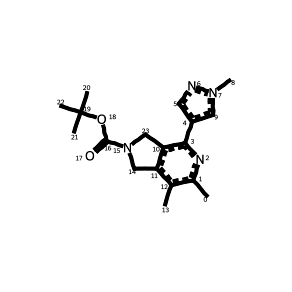 Cc1nc(-c2cnn(C)c2)c2c(c1C)CN(C(=O)OC(C)(C)C)C2